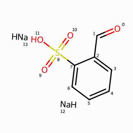 O=Cc1ccccc1S(=O)(=O)O.[NaH].[NaH]